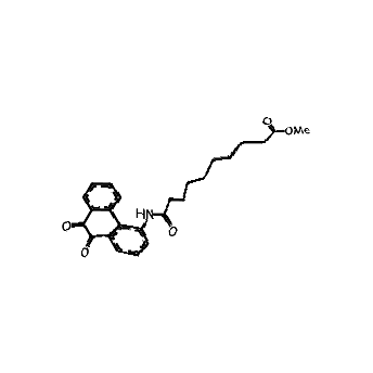 COC(=O)CCCCCCCCC(=O)Nc1cccc2c1-c1ccccc1C(=O)C2=O